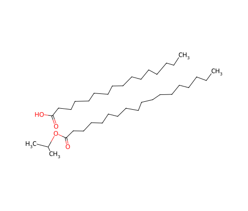 CCCCCCCCCCCCCCCC(=O)O.CCCCCCCCCCCCCCCCCC(=O)OC(C)C